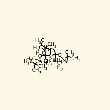 CCC(C)(C)C[Si](C)(C(C)(CC)O[Si](C)(C)C(C)(C)C)C(C)(CC)O[Si]1(C)CC1(C)C